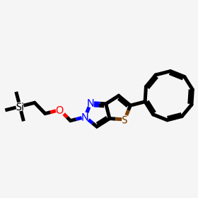 C[Si](C)(C)CCOCn1cc2sc(-c3ccccccccc3)cc2n1